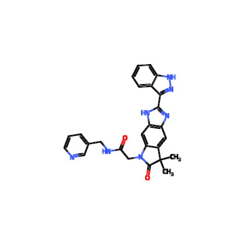 CC1(C)C(=O)N(CC(=O)NCc2cccnc2)c2cc3[nH]c(-c4n[nH]c5ccccc45)nc3cc21